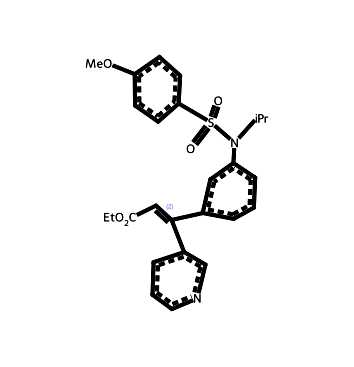 CCOC(=O)/C=C(\c1cccnc1)c1cccc(N(C(C)C)S(=O)(=O)c2ccc(OC)cc2)c1